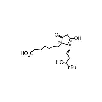 CCCCC(O)CC=C[C@H]1[C@H](O)CC(=O)[C@@H]1CCCCCCC(=O)O